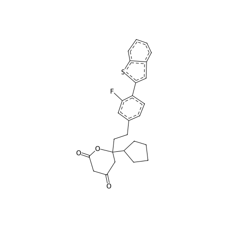 O=C1CC(=O)OC(CCc2ccc(-c3cc4ccccc4s3)c(F)c2)(C2CCCC2)C1